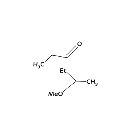 CCC(C)OC.CCC=O